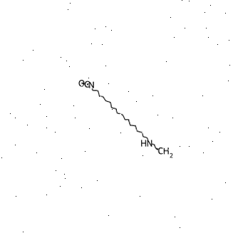 C=CCNCCCCCCCCCCCCCCCCCCN=C=O